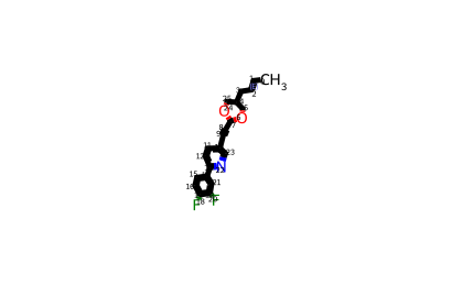 C/C=C/CC1COC(C#Cc2ccc(-c3ccc(F)c(F)c3)nc2)OC1